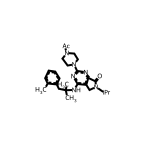 CC(=O)N1CCN(c2nc(NC(C)(C)Cc3ccccc3C)c3c(n2)C(=O)N(C(C)C)C3)CC1